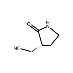 N#CC[C@H]1CCNC1=O